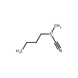 CCCC[S+](C)C#N